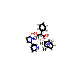 CN1CCCC1c1cccnc1.CN1[C@@H]2CC[C@H]1C[C@@H](OC(=O)C(CO)c1ccccc1)C2